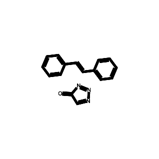 C(=Cc1ccccc1)c1ccccc1.O=C1C=NN=N1